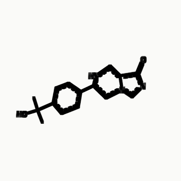 CC(C)(O)c1ccc(-c2cn3cnc(=O)c-3c[nH]2)cc1